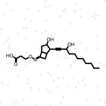 CCCCCCCCC(O)C#CC1C(O)CC2C(=NOCCC(=O)O)CC21